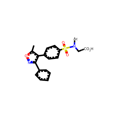 CC(=O)N(CC(=O)O)S(=O)(=O)c1ccc(-c2c(-c3ccccc3)noc2C)cc1